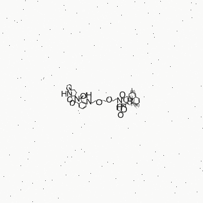 C[C@H]1C=C2C=C[C@H](C)[C@H](CC[C@@H]3CC=CC(=O)O3)[C@H]2[C@@H](OC(=O)NCCOCCOCCNc2cccc3c2C(=O)N(C2CCC(=O)NC2=O)C3=O)C1